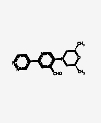 C[C@@H]1CN(c2cnc(-c3ccnnc3)cc2C=O)C[C@H](C)O1